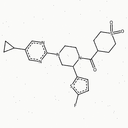 O=C(C1CCS(=O)(=O)CC1)N1CCN(c2ncc(C3CC3)cn2)CC1c1ccc(F)s1